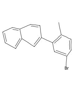 Cc1ccc(Br)cc1-c1ccc2ccccc2c1